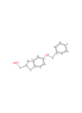 OCC1Cc2ccc(OCc3ccccc3)cc2C1